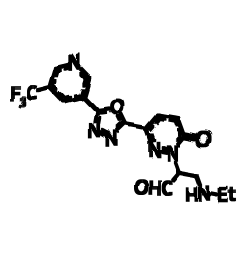 CCNCC(C=O)n1nc(-c2nnc(-c3cncc(C(F)(F)F)c3)o2)ccc1=O